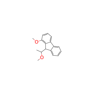 COc1cccc2c1C(C(C)OC)c1ccccc1-2